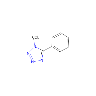 ClC(Cl)(Cl)n1nnnc1-c1ccccc1